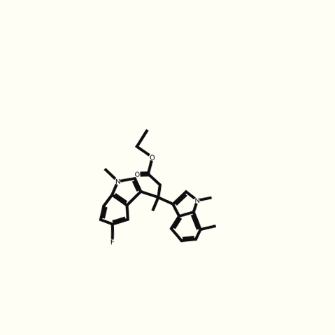 CCOC(=O)CC(C)(c1cn(C)c2ccc(F)cc12)c1cn(C)c2c(C)cccc12